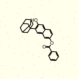 O=C(Oc1ccc2cc(O)c(C34CC5CC(CC(C5)C3)C4)cc2c1)c1ccccc1